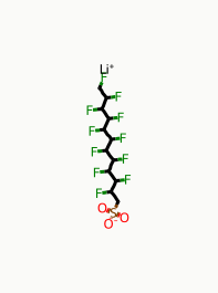 O=S(=O)([O-])CC(F)C(F)C(F)C(F)C(F)C(F)C(F)C(F)C(F)C(F)CF.[Li+]